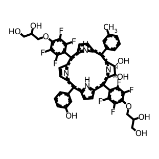 Cc1cccc(-c2c3nc(c(-c4c(F)c(F)c(OCC(O)CO)c(F)c4F)c4ccc([nH]4)c(-c4cccc(O)c4)c4nc(c(-c5c(F)c(F)c(OCC(O)CO)c(F)c5F)c5ccc2[nH]5)C=C4)[C@@H](O)[C@H]3O)c1